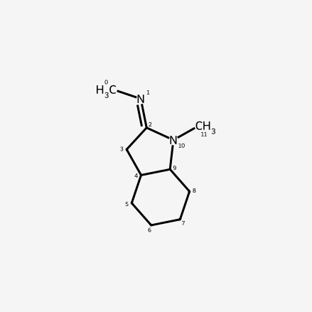 C/N=C1\CC2CCCCC2N1C